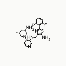 CC1CC(N)CN(c2ccncc2NCc2nc(-c3c(F)cccc3F)sc2N)C1